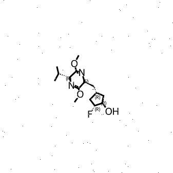 COC1=N[C@H](C(C)C)C(OC)=N[C@H]1C[C@@H]1C[C@@H](O)[C@H](F)C1